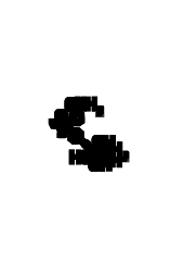 Bc1c(O)c(O)c(O)c(C#Cc2ccc(C3SC(CC)C(=O)N3c3cccc(C(N)=O)c3)cc2)c1O